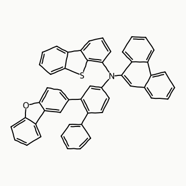 c1ccc(-c2ccc(N(c3cc4ccccc4c4ccccc34)c3cccc4c3sc3ccccc34)cc2-c2ccc3oc4ccccc4c3c2)cc1